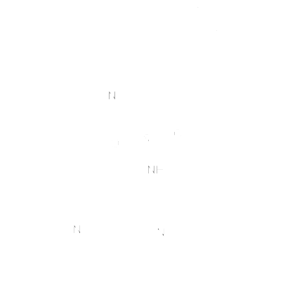 O=S(=O)(Nc1ccnc2cccnc12)c1cc(C2CC2)ccn1